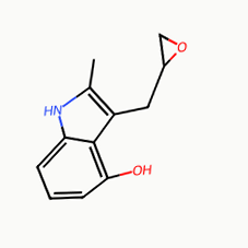 Cc1[nH]c2cccc(O)c2c1CC1CO1